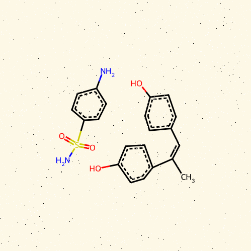 CC(=Cc1ccc(O)cc1)c1ccc(O)cc1.Nc1ccc(S(N)(=O)=O)cc1